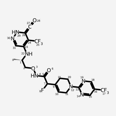 C[C@@H](CONC(=O)C(F)C1=CCN(c2ncc(C(F)(F)F)cn2)CC1)NC1=C(C(F)(F)F)C(=C=O)NN=C1